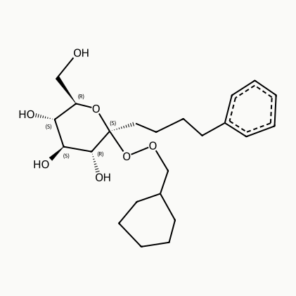 OC[C@H]1O[C@@](CCCCc2ccccc2)(OOCC2CCCCC2)[C@H](O)[C@@H](O)[C@@H]1O